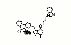 CCCCc1nc2c(C)ccc(OCCCCn3cnc4ccccc43)c2n1Cc1ccc(-c2ccccc2C(=O)OC(C)(C)C)cc1